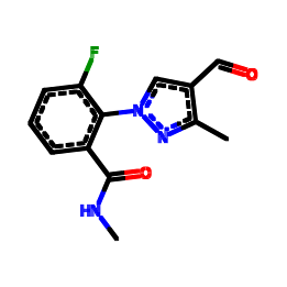 CNC(=O)c1cccc(F)c1-n1cc(C=O)c(C)n1